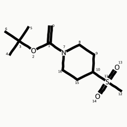 C=C(OC(C)(C)C)N1CCC(S(C)(=O)=O)CC1